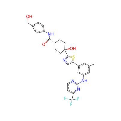 Cc1cc(Nc2nccc(C(F)(F)F)n2)cc(-c2cnc([C@]3(O)CC[C@H](C(=O)Nc4ccc(CO)cc4)CC3)s2)c1